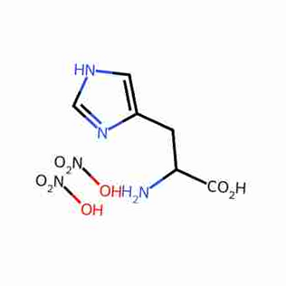 NC(Cc1c[nH]cn1)C(=O)O.O=[N+]([O-])O.O=[N+]([O-])O